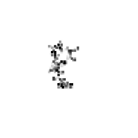 C=CC(=C)CCN(C)C(C)O/N=C/C(=O)NCCCOC